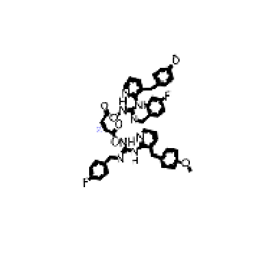 COc1ccc(Cc2cccnc2NC(=NCc2ccc(F)cc2)NOC(=O)/C=C\C(=O)ONC(=NCc2ccc(F)cc2)Nc2ncccc2Cc2ccc(OC)cc2)cc1